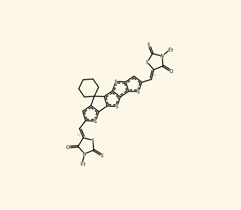 CCN1C(=O)/C(=C/c2cc3c(s2)-c2sc4c(sc5cc(/C=C6\SC(=S)N(CC)C6=O)sc54)c2C32CCCCC2)SC1=S